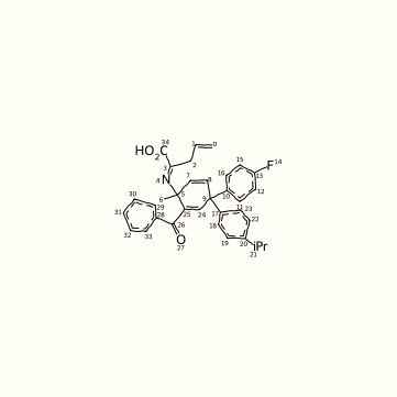 C=CCC(=NC1(C)C=CC(c2ccc(F)cc2)(c2ccc(C(C)C)cc2)C=C1C(=O)c1ccccc1)C(=O)O